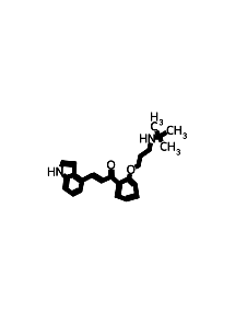 CC(C)(C)NCCCOc1ccccc1C(=O)C=Cc1cccc2[nH]ccc12